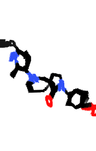 COc1ccc(N2CCC[C@@]3(CCN([C@H]4CC[C@H](O)CC4)C3=O)C2)c(C)n1